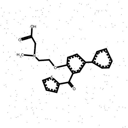 CN(CCOc1ccc(-c2ccccc2)cc1C(=O)c1cccs1)CC(=O)O